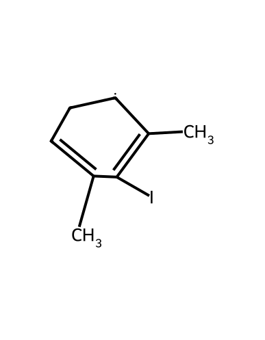 CC1=CC[CH]C(C)=C1I